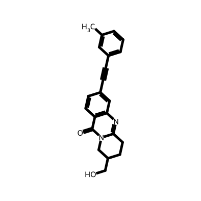 Cc1cccc(C#Cc2ccc3c(=O)n4c(nc3c2)CCC(CO)C4)c1